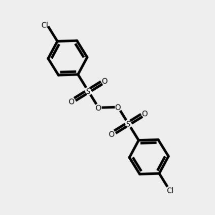 O=S(=O)(OOS(=O)(=O)c1ccc(Cl)cc1)c1ccc(Cl)cc1